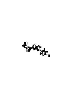 Cc1c(C#N)nnc(N2CCc3ncc(-c4cnn(CC(C)(C)O)c4)cc3C2)c1C